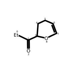 CCC(=O)C1CCC=CO1